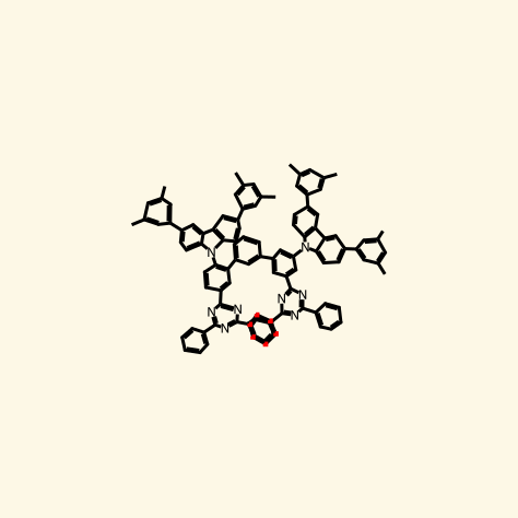 Cc1cc(C)cc(-c2ccc3c(c2)c2cc(-c4cc(C)cc(C)c4)ccc2n3-c2cc(-c3cccc(-c4cc(-c5nc(-c6ccccc6)nc(-c6ccccc6)n5)ccc4-n4c5ccc(-c6cc(C)cc(C)c6)cc5c5cc(-c6cc(C)cc(C)c6)ccc54)c3)cc(-c3nc(-c4ccccc4)nc(-c4ccccc4)n3)c2)c1